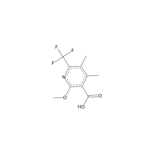 COc1nc(C(F)(F)F)c(C)c(C)c1C(=O)O